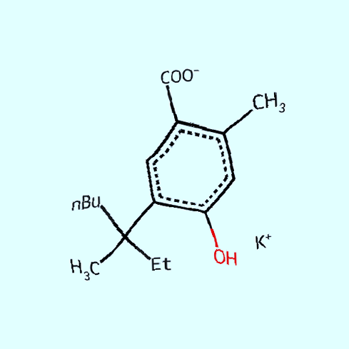 CCCCC(C)(CC)c1cc(C(=O)[O-])c(C)cc1O.[K+]